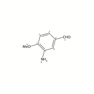 COc1ccc([C]=O)cc1N